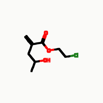 C=C(CC(C)O)C(=O)OCCCl